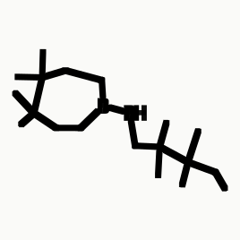 CCC(C)(C)C(C)(C)CBB1CCC(C)(C)C(C)(C)CC1